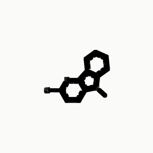 Cn1c2ccccc2c2nc(Cl)ccc21